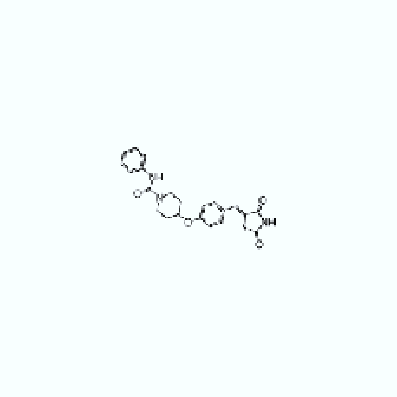 O=C1NC(=O)C(=Cc2ccc(OC3CCN(C(=O)Nc4ccccc4)CC3)cc2)S1